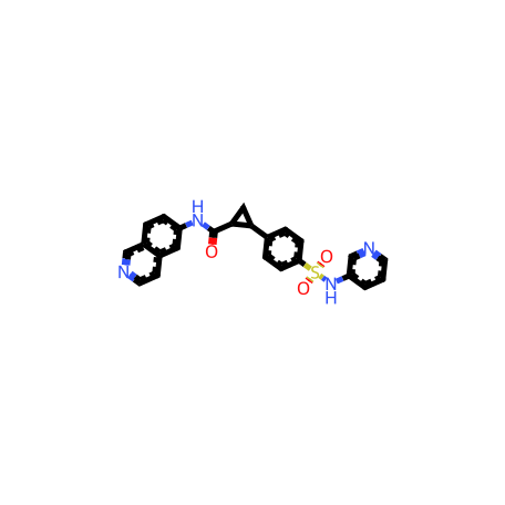 O=C(Nc1ccc2cnccc2c1)C1CC1c1ccc(S(=O)(=O)Nc2cccnc2)cc1